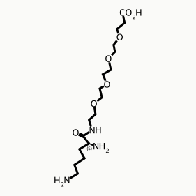 NCCCC[C@H](N)C(=O)NCCOCCOCCOCCOCCC(=O)O